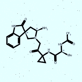 CC(C)(C)[C@H](NC(=O)C(F)(F)F)C(=O)NC1(C(=O)CN2C[C@]3(C[C@H]2N)C(=O)Nc2ccccc23)CC1